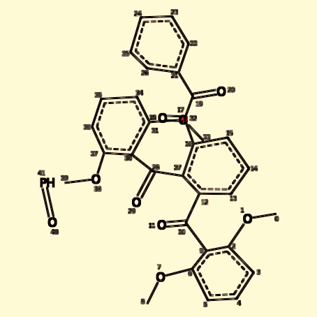 COc1cccc(OC)c1C(=O)c1cccc(C(=O)C(=O)c2ccccc2)c1C(=O)c1c(OC)cccc1OC.O=P